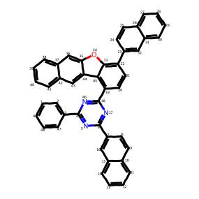 c1ccc(-c2nc(-c3ccc4ccccc4c3)nc(-c3ccc(-c4ccc5ccccc5c4)c4oc5cc6ccccc6cc5c34)n2)cc1